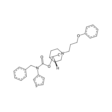 O=C(O[C@H]1C[N+]2(CCCOc3ccccc3)CCC1CC2)N(Cc1ccccc1)c1ccsc1